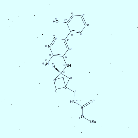 CC(C)(C)OC(=O)NCC12CC(C1)[C@H](Nc1cc(-c3ccccc3O)nnc1N)C2